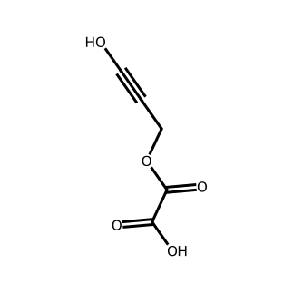 O=C(O)C(=O)OCC#CO